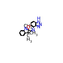 CN1c2ccccc2C(C)(C)C12C=Nc1c(ccc3[nH]nnc13)O2